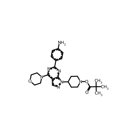 CC(C)(C)C(=O)ON1CCC(n2ncc3c(N4CCOCC4)nc(-c4ccc(N)cc4)nc32)CC1